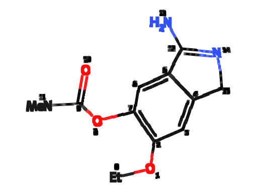 CCOc1cc2c(cc1OC(=O)NC)C(N)=NC2